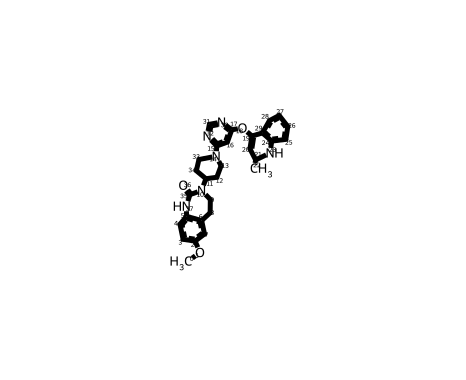 COc1ccc2c(c1)CCN(C1CCN(c3cc(OC4=CC(C)Nc5ccccc54)ncn3)CC1)C(=O)N2